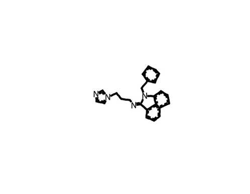 c1ccc(CN2C(=NCCCn3ccnc3)c3cccc4cccc2c34)cc1